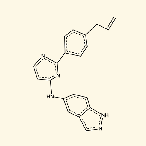 C=CCc1ccc(-c2nccc(Nc3ccc4[nH]ncc4c3)n2)cc1